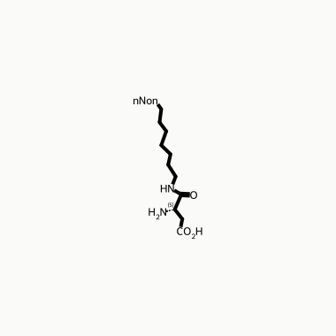 CCCCCCCCCCCCCCCCNC(=O)[C@@H](N)CC(=O)O